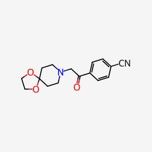 N#Cc1ccc(C(=O)CN2CCC3(CC2)OCCO3)cc1